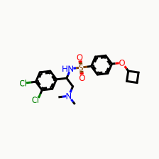 CN(C)CC(NS(=O)(=O)c1ccc(OC2CCC2)cc1)c1ccc(Cl)c(Cl)c1